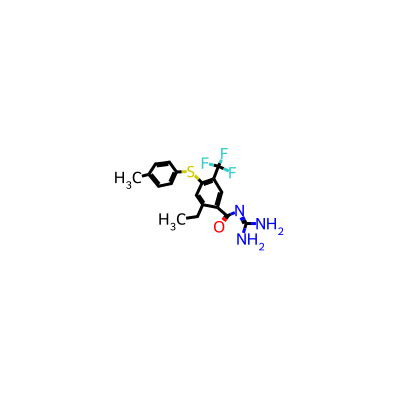 CCc1cc(Sc2ccc(C)cc2)c(C(F)(F)F)cc1C(=O)N=C(N)N